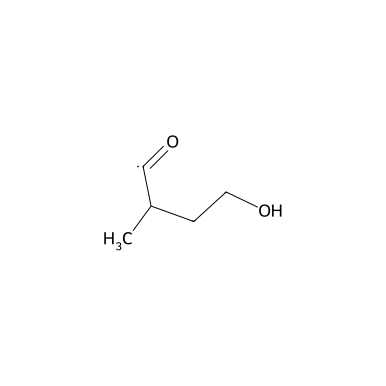 CC([C]=O)CCO